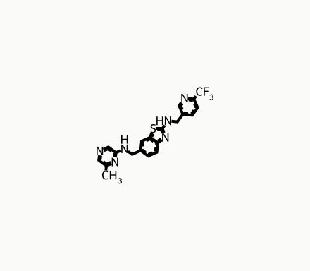 Cc1cncc(NCc2ccc3nc(NCc4ccc(C(F)(F)F)nc4)sc3c2)n1